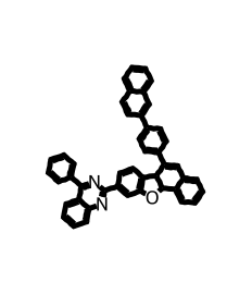 C1=C(c2ccc(-c3ccc4ccccc4c3)cc2)C2c3ccc(-c4nc(-c5ccccc5)c5ccccc5n4)cc3OC2c2ccccc21